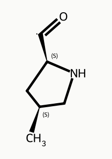 C[C@@H]1CN[C@H]([C]=O)C1